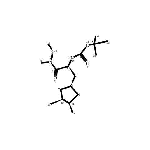 CON(C)C(=O)[C@H](C[C@H]1C[C@@H](C)[C@@H](C)C1)NC(=O)OC(C)(C)C